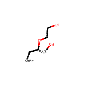 COCCOCCO.O=S(=O)(O)O